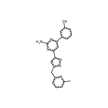 Cc1cccc(Cn2cc(-c3cc(-c4cccc(C#N)c4)nc(N)n3)nn2)n1